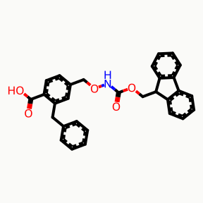 O=C(NOCc1ccc(C(=O)O)c(Cc2ccccc2)c1)OCC1c2ccccc2-c2ccccc21